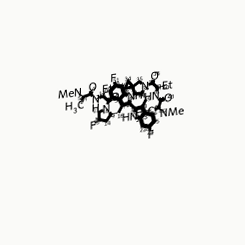 CC[C@H](NC(=O)[C@H](C)NC)C(=O)N1C[C@@H](F)C[C@H]1Cc1c(-c2[nH]c3cc(F)ccc3c2C[C@@H]2CC3(CC3)CN2C(=O)[C@H](CC)NC(=O)[C@H](C)NC)[nH]c2cc(F)ccc12